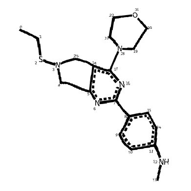 CCSN1Cc2nc(-c3ccc(NC)cc3)nc(N3CCOCC3)c2C1